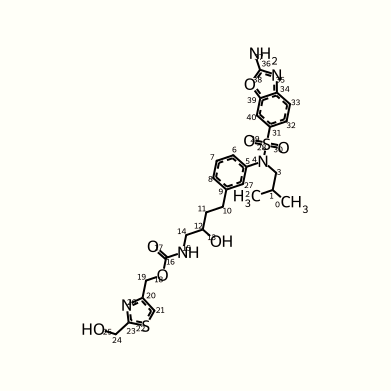 CC(C)CN(c1cccc(CCC(O)CNC(=O)OCc2csc(CO)n2)c1)S(=O)(=O)c1ccc2nc(N)oc2c1